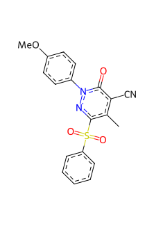 COc1ccc(-n2nc(S(=O)(=O)c3ccccc3)c(C)c(C#N)c2=O)cc1